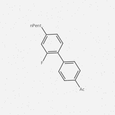 CCCCCc1ccc(-c2ccc(C(C)=O)cc2)c(F)c1